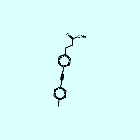 COC(=O)CCc1ccc(C#Cc2ccc(C)cc2)cc1